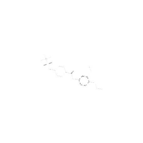 CCOc1ccc(NC(=O)C2CCC(NS(=O)(=O)C(C)(C)C)CC2)cc1OCC